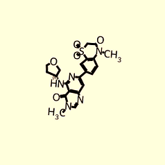 CN1C(=O)CS(=O)(=O)c2cc(-c3cc4ncn(C)c(=O)c4c(N[C@@H]4CCOC4)n3)ccc21